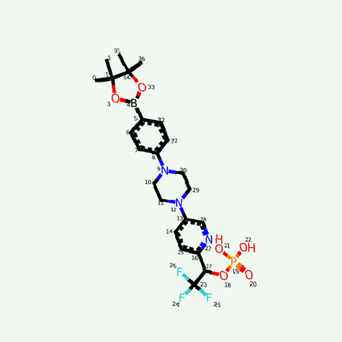 CC1(C)OB(c2ccc(N3CCN(c4ccc(C(OP(=O)(O)O)C(F)(F)F)nc4)CC3)cc2)OC1(C)C